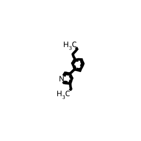 CCCc1cccc(-c2cncc(CC)c2)c1